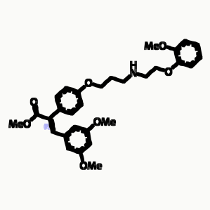 COC(=O)/C(=C/c1cc(OC)cc(OC)c1)c1ccc(OCCCNCCOc2ccccc2OC)cc1